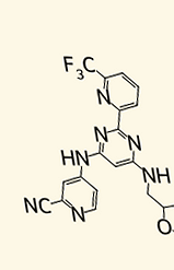 N#Cc1cc(Nc2cc(NCC3CCCO3)nc(-c3cccc(C(F)(F)F)n3)n2)ccn1